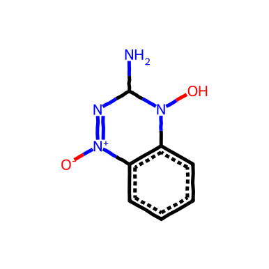 NC1N=[N+]([O-])c2ccccc2N1O